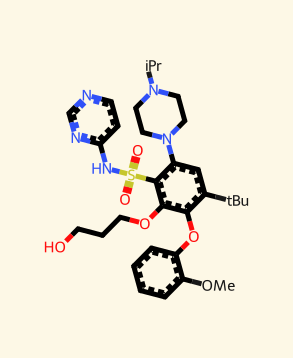 COc1ccccc1Oc1c(C(C)(C)C)cc(N2CCN(C(C)C)CC2)c(S(=O)(=O)Nc2ccncn2)c1OCCCO